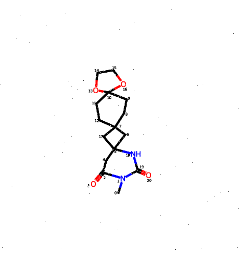 CN1C(=O)CC2(CC3(CCC4(CC3)OCCO4)C2)NC1=O